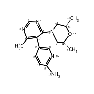 Cc1ncnc(N2C[C@@H](C)O[C@@H](C)C2)c1-c1ccc(N)nc1